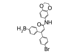 Bc1ccc(/C(=C\C(=O)Nc2ccc3c(c2)OCCO3)c2ccc(Br)cc2)cc1